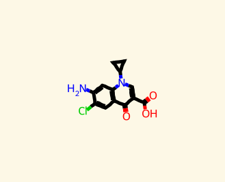 Nc1cc2c(cc1Cl)c(=O)c(C(=O)O)cn2C1CC1